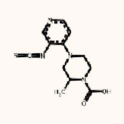 CC1CN(c2ccncc2N=C=S)CCN1C(=O)O